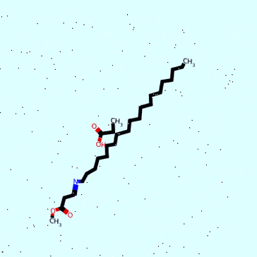 CCC(=O)O.CCCCCCCCCCCCCCCCCCCCN=CCC(=O)OC